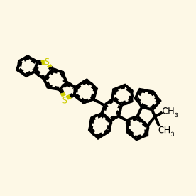 CC1(C)c2ccccc2-c2c(-c3c4ccccc4c(-c4ccc5c(c4)sc4cc6c(cc45)sc4ccccc46)c4ccccc34)cccc21